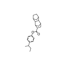 CCC(C)c1ccc(OC(=O)C2CC3CC2C2C4CCC(C4)C32)cc1